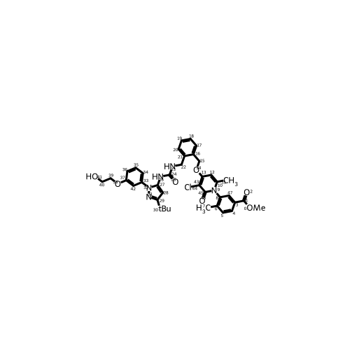 COC(=O)c1ccc(C)c(-n2c(C)cc(OCc3ccccc3CNC(=O)Nc3cc(C(C)(C)C)nn3-c3cccc(OCCO)c3)c(Cl)c2=O)c1